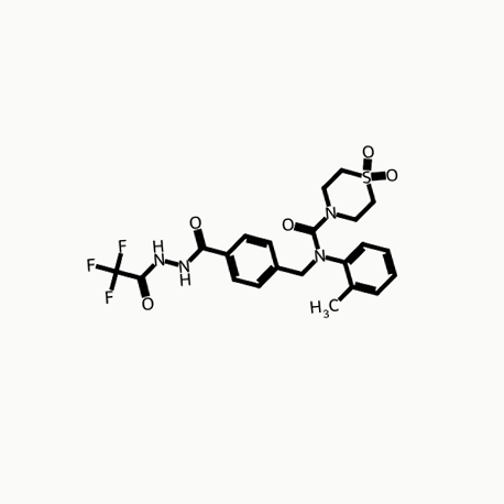 Cc1ccccc1N(Cc1ccc(C(=O)NNC(=O)C(F)(F)F)cc1)C(=O)N1CCS(=O)(=O)CC1